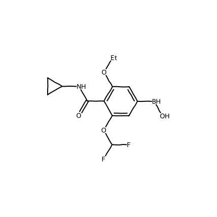 CCOc1cc(BO)cc(OC(F)F)c1C(=O)NC1CC1